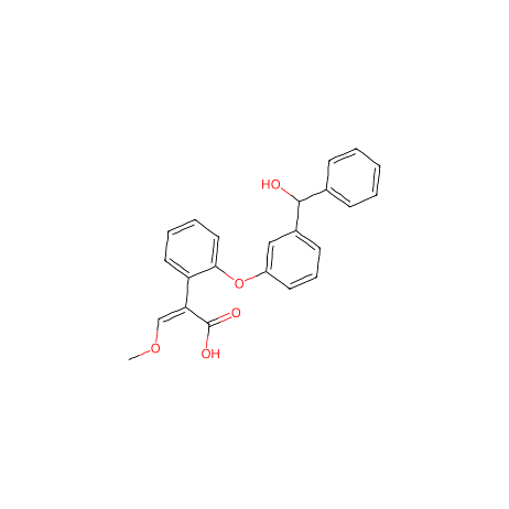 COC=C(C(=O)O)c1ccccc1Oc1cccc(C(O)c2ccccc2)c1